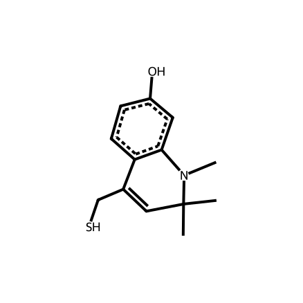 CN1c2cc(O)ccc2C(CS)=CC1(C)C